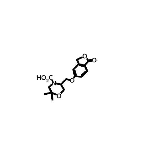 CC1(C)CN(C(=O)O)C(COc2ccc3c(c2)COC3=O)CO1